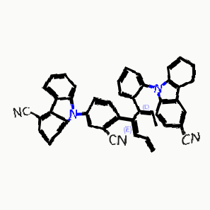 C=C/C=C(\C(=C/C)c1ccccc1-n1c2c(c3cc(C#N)ccc31)CCC=C2)c1ccc(-n2c3ccccc3c3c(C#N)cccc32)cc1C#N